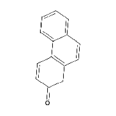 O=C1C=Cc2c(ccc3ccccc23)C1